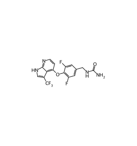 NC(=O)NCc1cc(F)c(Oc2ccnc3[nH]cc(C(F)(F)F)c23)c(F)c1